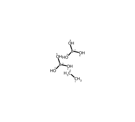 CC.OB(O)O.OB(O)O